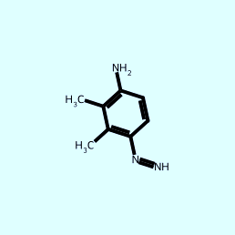 Cc1c(N)ccc(N=N)c1C